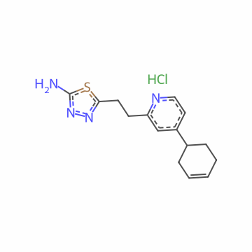 Cl.Nc1nnc(CCc2cc(C3CC=CCC3)ccn2)s1